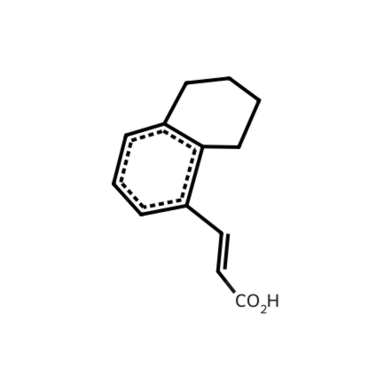 O=C(O)/C=C/c1cccc2c1CCCC2